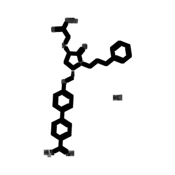 COC(=O)CS[C@@H]1C[C@@H](COc2ccc(-c3ccc(C(=N)N)cc3)cc2)N(CCCc2ccccc2)C1=O.Cl